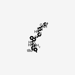 CCC(/C=C(/NC(=O)Nc1ccc(OCc2ccnc(Nc3cnc(C(=O)N[C@@H]4CCN(C)C4)cn3)c2)c2ccccc12)N(N)c1ccc(C)cc1)C(C)(C)C